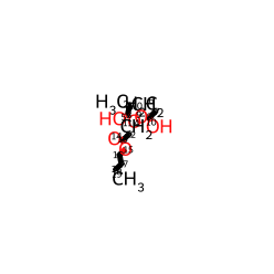 C=C(C)C(=O)O.C=CC(=O)O.C=CC(=O)OCCCC